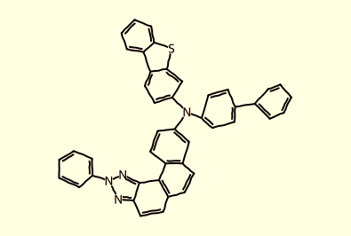 c1ccc(-c2ccc(N(c3ccc4c(ccc5ccc6nn(-c7ccccc7)nc6c54)c3)c3ccc4c(c3)sc3ccccc34)cc2)cc1